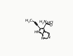 CC#Cc1[nH]c2ncncc2c1C(N)=O.Cl